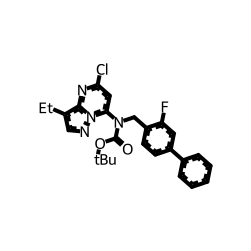 CCc1cnn2c(N(Cc3ccc(-c4ccccc4)cc3F)C(=O)OC(C)(C)C)cc(Cl)nc12